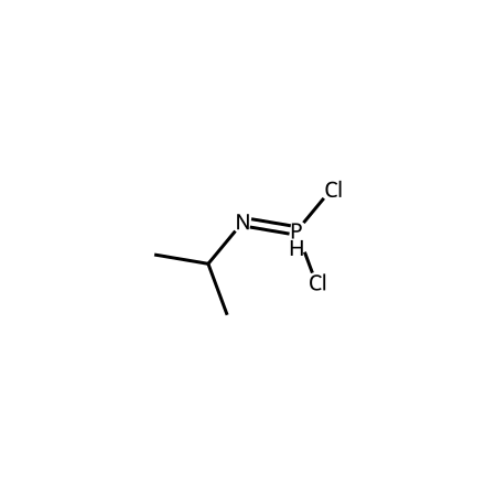 CC(C)N=[PH](Cl)Cl